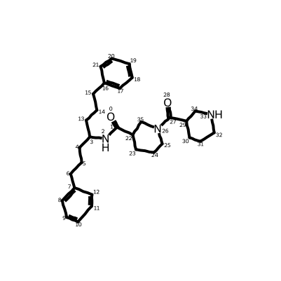 O=C(NC(CCCc1ccccc1)CCCc1ccccc1)C1CCCN(C(=O)C2CCCNC2)C1